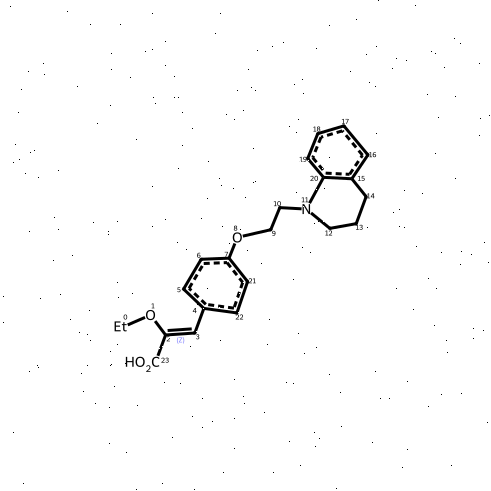 CCO/C(=C\c1ccc(OCCN2CCCc3ccccc32)cc1)C(=O)O